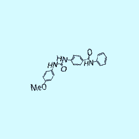 COc1ccc(NC(=O)Nc2ccc(C(=O)Nc3ccccc3)cc2)cc1